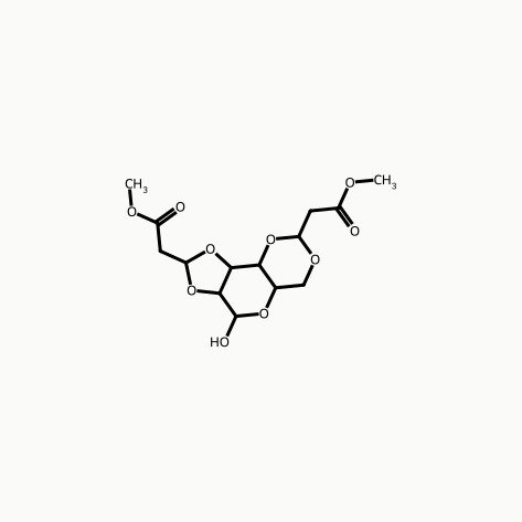 COC(=O)CC1OCC2OC(O)C3OC(CC(=O)OC)OC3C2O1